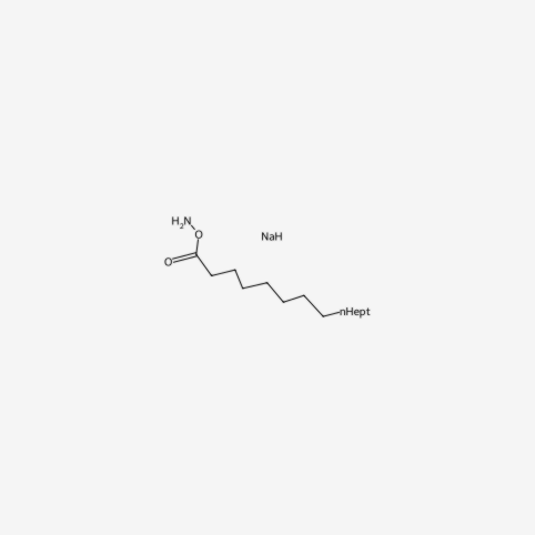 CCCCCCCCCCCCCCC(=O)ON.[NaH]